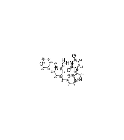 C[C@@H]1C[C@@H](Cc2ccn3ncc(-n4ccc(=O)[nH]c4=O)c3c2)CCN1CC1CCOCC1